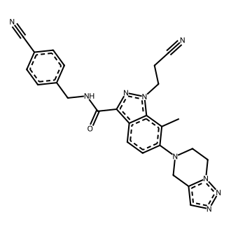 Cc1c(N2CCn3nncc3C2)ccc2c(C(=O)NCc3ccc(C#N)cc3)nn(CCC#N)c12